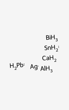 [Ag].[AlH3].[BiH3].[CaH2].[PbH2].[SnH2]